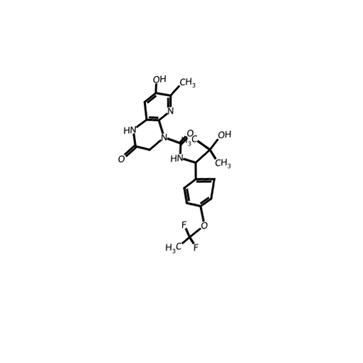 Cc1nc2c(cc1O)NC(=O)CN2C(=O)NC(c1ccc(OC(C)(F)F)cc1)C(C)(C)O